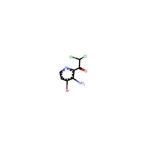 Nc1c(Br)ccnc1C(=O)C(Cl)Cl